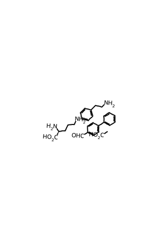 CC(=O)O.NCCC[C@H](N)C(=O)O.NCCc1ccccc1.O=Cc1ccc(-c2ccccc2)cc1